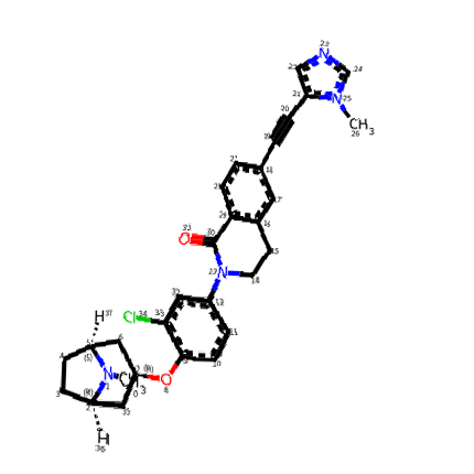 CN1[C@@H]2CC[C@H]1C[C@@H](Oc1ccc(N3CCc4cc(C#Cc5cncn5C)ccc4C3=O)cc1Cl)C2